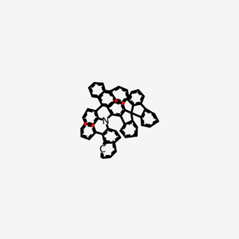 c1ccc(-c2c(N(c3ccccc3-c3cc4ccccc4c4ccccc34)c3cccc4c3-c3ccccc3C43c4ccccc4-c4ccccc43)ccc3ccccc23)cc1